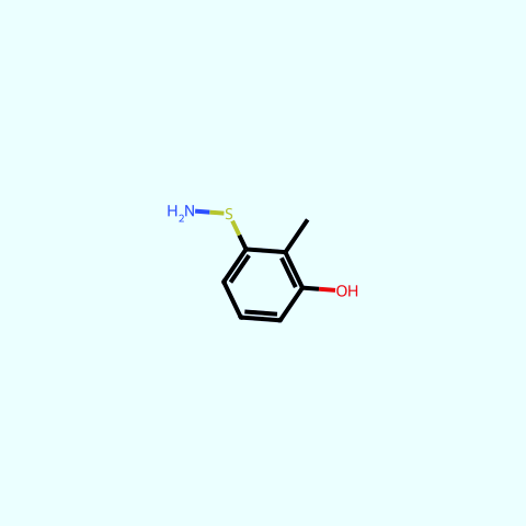 Cc1c(O)cccc1SN